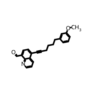 COc1cccc(CCCCC#Cc2ccc(C=O)c3ncccc23)c1